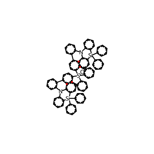 O=S12(c3ccccc3-c3cc(-c4ccccc4N4c5ccccc5[Si](c5ccccc5)(c5ccccc5)c5ccccc54)ccc31)c1ccccc1-c1cc(-c3ccccc3N3c4ccccc4[Si](c4ccccc4)(c4ccccc4)c4ccccc43)ccc12